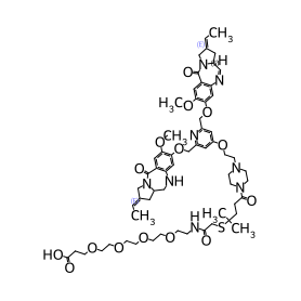 C/C=C1\CC2CNc3cc(OCc4cc(OCCN5CCN(C(=O)CCC(C)(C)SCC(=O)NCCOCCOCCOCCOCCC(=O)O)CC5)cc(COc5cc6c(cc5OC)C(=O)N5C/C(=C/C)C[C@H]5C=N6)n4)c(OC)cc3C(=O)N2C1